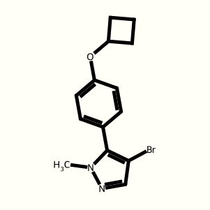 Cn1ncc(Br)c1-c1ccc(OC2CCC2)cc1